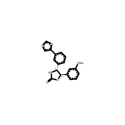 COc1cccc([C@H]2OC(=O)N[C@@H]2c2cccc(-c3cscn3)c2)c1